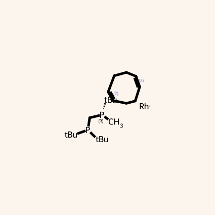 C1=C\CC/C=C\CC/1.C[P@](CP(C(C)(C)C)C(C)(C)C)C(C)(C)C.[Rh]